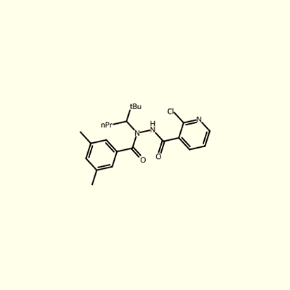 CCCC(N(NC(=O)c1cccnc1Cl)C(=O)c1cc(C)cc(C)c1)C(C)(C)C